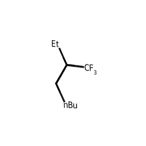 CCCCCC(CC)C(F)(F)F